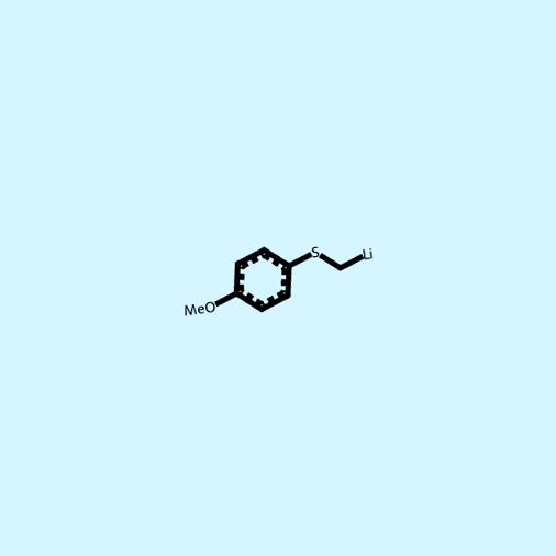 [Li][CH2]Sc1ccc(OC)cc1